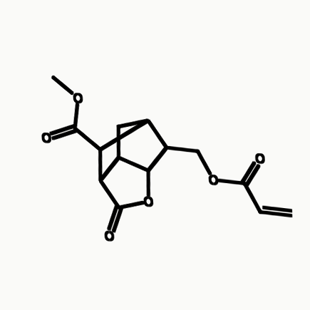 C=CC(=O)OCC1C2CC3C1OC(=O)C3C2C(=O)OC